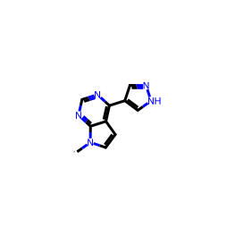 [CH2]n1ccc2c(-c3cn[nH]c3)ncnc21